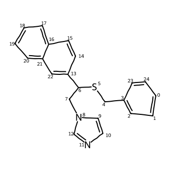 c1ccc(CSC(Cn2ccnc2)c2ccc3ccccc3c2)cc1